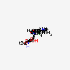 CC[N+]1=C(/C=C/C2(C)CCC/C(=C\CC3(C)N(CCCCCC(O)Oc4ccc(NC(=O)OC(C)(C)C)cc4)C4C=CC=CC4(C)C3(C)C)C2Cl)C(C)(C)c2ccccc21